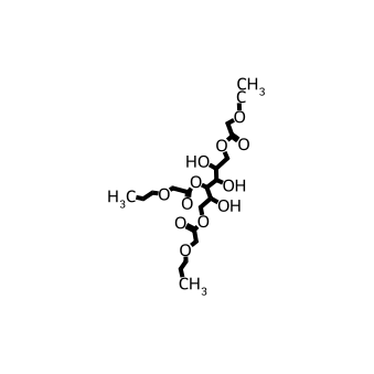 CCCOCC(=O)OCC(O)C(O)C(OC(=O)COCCC)C(O)COC(=O)COCCC